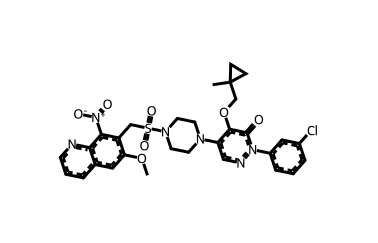 COc1cc2cccnc2c([N+](=O)[O-])c1CS(=O)(=O)N1CCN(c2cnn(-c3cccc(Cl)c3)c(=O)c2OCC2(C)CC2)CC1